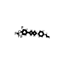 CCC[C@H]1CC[C@H](C2CC3(CC(c4cc(F)c(OC(F)F)c(F)c4)C3)C2)CC1